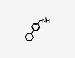 CNCc1ccc(C2CCCCC2)cc1